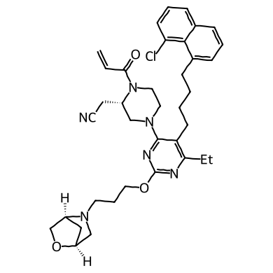 C=CC(=O)N1CCN(c2nc(OCCCN3C[C@@H]4C[C@H]3CO4)nc(CC)c2CCCCc2cccc3cccc(Cl)c23)C[C@@H]1CC#N